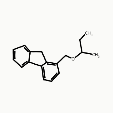 CCC(C)OCc1cccc2c1Cc1ccccc1-2